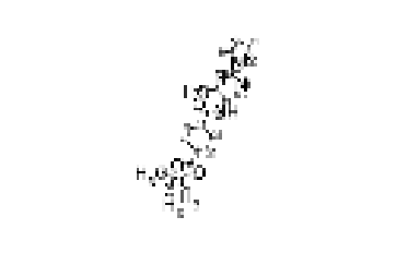 CC(C)(C)OC(=O)N1CCC(C(=O)Nc2cnc(-n3cccn3)nc2O)CC1